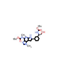 CN(C(=O)OC(C)(C)C)c1nc2[nH]c(-c3cccc([C@H](CO)NC(=O)OC(C)(C)C)c3)cc2c2c1ncn2C